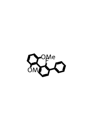 COc1cccc(OC)c1-c1cccc(-c2ccccc2)c1F